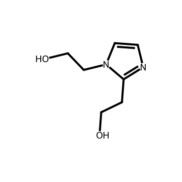 OCCc1nccn1CCO